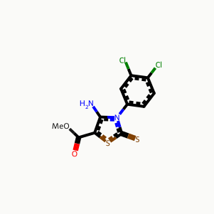 COC(=O)c1sc(=S)n(-c2ccc(Cl)c(Cl)c2)c1N